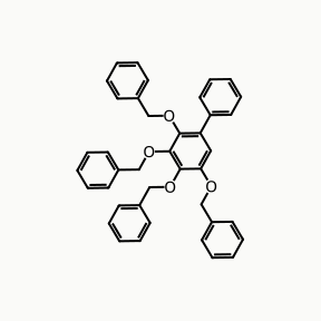 c1ccc(COc2cc(-c3ccccc3)c(OCc3ccccc3)c(OCc3ccccc3)c2OCc2ccccc2)cc1